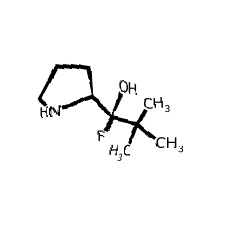 CC(C)(C)[C@](O)(F)[C@@H]1CCCN1